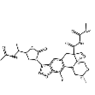 CNC(=O)NC(=O)C1(C=O)Cc2cc3c(N4CC(C(C)NC(C)=O)SC4=O)noc3c(F)c2N2C[C@@H](C)OC[C@@H]21